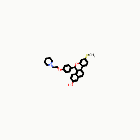 CSc1ccc2c(c1)OC(c1ccc(OCCN3CCCCC3)cc1)c1c-2ccc2cc(O)ccc12